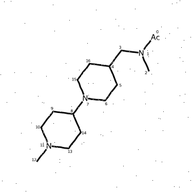 CC(=O)N(C)CC1CCN(C2CCN(C)CC2)CC1